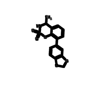 CC1NS(=O)(=O)Oc2c(-c3ccc4c(c3)OCO4)cccc21